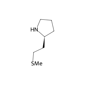 CSCC[C@@H]1CCCN1